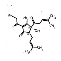 CC(C)=CCC(=O)[C@]1(O)C(O)=C(C(=O)CC(C)C)C(=O)[C@@H]1CC=C(C)C